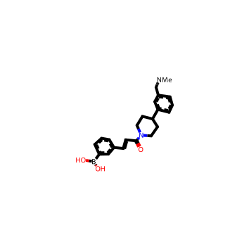 CNCc1cccc(C2CCN(C(=O)/C=C/c3cccc(B(O)O)c3)CC2)c1